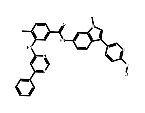 CCOc1ccc(-c2cn(C)c3cc(NC(=O)c4ccc(C)c(Nc5cc(-c6ccccc6)ncn5)c4)ccc23)cn1